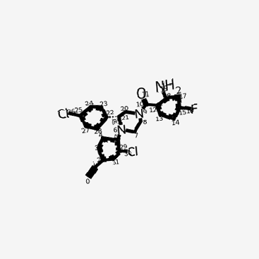 C#Cc1ccc(N2CCN(C(=O)c3ccc(F)cc3N)C[C@H]2c2ccc(Cl)cc2)c(Cl)c1